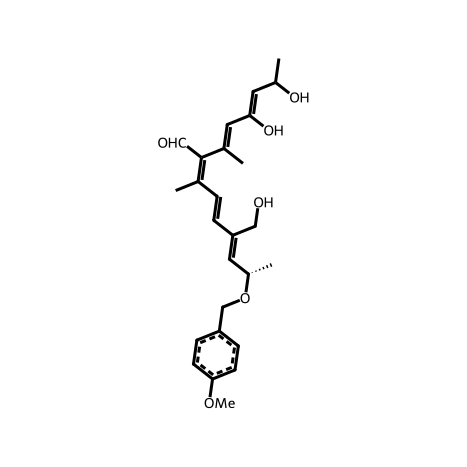 COc1ccc(CO[C@@H](C)/C=C(/C=C/C(C)=C(C=O)\C(C)=C\C(O)=C\C(C)O)CO)cc1